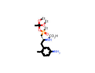 CCOC(C)(OCC)OP(=O)(CC)C[C@@H](Cc1cc(N)ccc1C)NC(=O)O